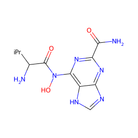 CC(C)C(N)C(=O)N(O)c1nc(C(N)=O)nc2nc[nH]c12